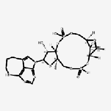 O=P1(S)OC[C@H]2O[C@@H](n3cc4c5c(ncnc53)NCCC4)[C@H](O)[C@@H]2OP(=O)(S)OC[C@H]2O[C@@H](I)[C@H](O1)[C@@H]2O